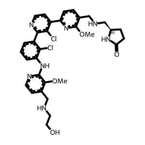 COc1nc(-c2ccnc(-c3cccc(Nc4nccc(CNCCO)c4OC)c3Cl)c2Cl)ccc1CNC[C@H]1CCC(=O)N1